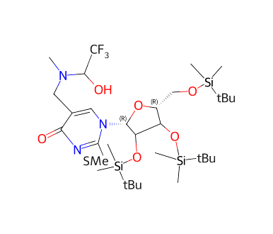 CSc1nc(=O)c(CN(C)C(O)C(F)(F)F)cn1[C@@H]1O[C@H](CO[Si](C)(C)C(C)(C)C)C(O[Si](C)(C)C(C)(C)C)C1O[Si](C)(C)C(C)(C)C